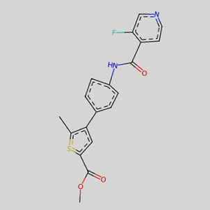 COC(=O)c1cc(-c2ccc(NC(=O)c3ccncc3F)cc2)c(C)s1